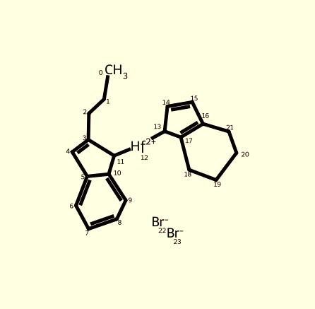 CCCC1=Cc2ccccc2[CH]1[Hf+2][CH]1C=CC2=C1CCCC2.[Br-].[Br-]